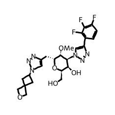 CO[C@@H]1[C@@H](n2cc(-c3ccc(F)c(F)c3F)nn2)[C@@H](O)[C@@H](CO)O[C@@H]1Cc1cn(C2CC3(COC3)C2)nn1